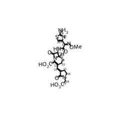 CO/N=C(\C(=O)N[C@@H]1C(=O)N2C(C(=O)O)=C(/C=C3\CCN(CC(=O)O)C3=O)CS[C@H]12)c1csc(N)n1